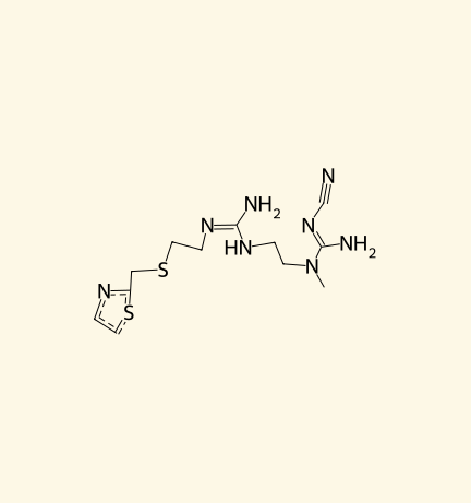 CN(CCNC(N)=NCCSCc1nccs1)C(N)=NC#N